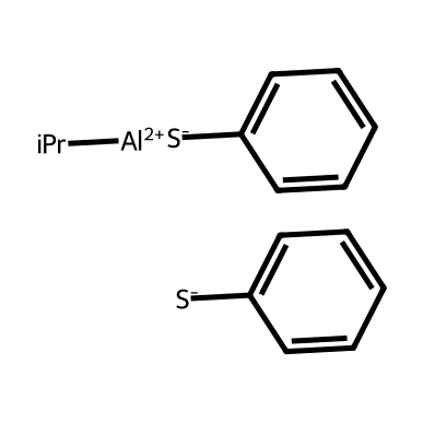 C[CH](C)[Al+2].[S-]c1ccccc1.[S-]c1ccccc1